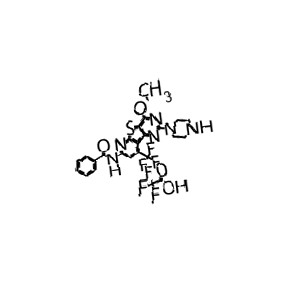 CCOc1nc(N2CCNCC2)nc2c1sc1nc(NC(=O)c3ccccc3)cc(C(F)(F)F)c12.O=C(O)C(F)(F)F